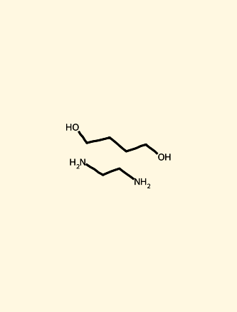 NCCN.OCCCCO